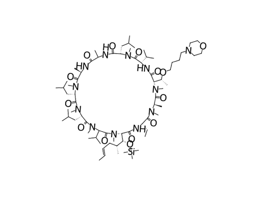 C/C=C/C[C@@H](C)[C@@H](O[Si](C)(C)C)[C@H]1C(=O)N[C@@H](CC)C(=O)N(C)[C@H](C)C(=O)N(C)[C@@H]([C@@H](C)OCCCCN2CCOCC2)C(=O)N[C@@H](C(C)C)C(=O)N(C)[C@@H](CC(C)C)C(=O)NC(C)C(=O)N[C@H](C)C(=O)N(C)[C@@H](CC(C)C)C(=O)N(C)[C@@H](CC(C)C)C(=O)N(C)C(C(C)C)C(=O)N1C